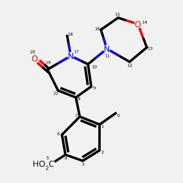 Cc1ccc(C(=O)O)cc1-c1cc(N2CCOCC2)n(C)c(=O)c1